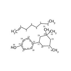 C=CCCCCCC.CC1CC(c2ccc(O)cc2)CC(C)(C)C1